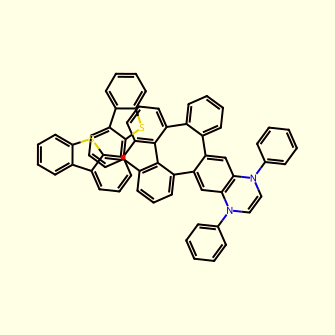 c1ccc(-n2ccn(-c3ccccc3)c3cc4c(cc32)c2ccccc2c2cccc(-c3cccc5c3sc3ccccc35)c2c2c(-c3cccc5c3sc3ccccc35)cccc42)cc1